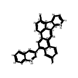 Cc1ccc2c(c1)c(-c1cnc3ccccc3c1)cc1c3ccc(C)c4c3c(cc21)-c1ncccc1-4